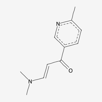 Cc1ccc(C(=O)C=CN(C)C)cn1